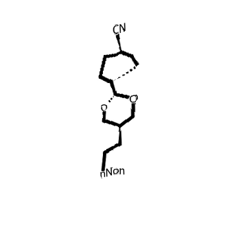 CCCCCCCCCCC[C@H]1CO[C@H]([C@H]2CC[C@H](C#N)CC2)OC1